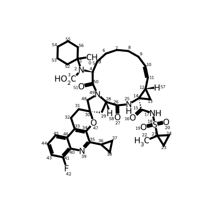 CC1(N(C(=O)O)[C@H]2CCCCC/C=C\[C@@H]3C[C@@]3(C(=O)NS(=O)(=O)C3(C)CC3)NC(=O)[C@@H]3C[C@]4(CCc5c(c(C6CC6)nc6c(F)cccc56)O4)CN3C2=O)CCCCC1